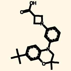 CC1(C)CN(c2cccc(N3CC(C(=O)O)C3)c2)c2ccc(C(C)(C)C)cc2O1